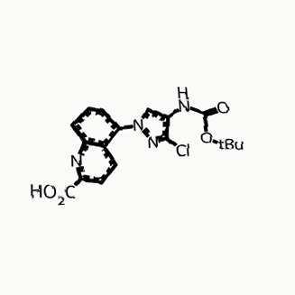 CC(C)(C)OC(=O)Nc1cn(-c2cccc3nc(C(=O)O)ccc23)nc1Cl